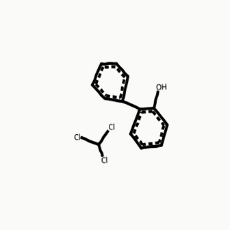 ClC(Cl)Cl.Oc1ccccc1-c1ccccc1